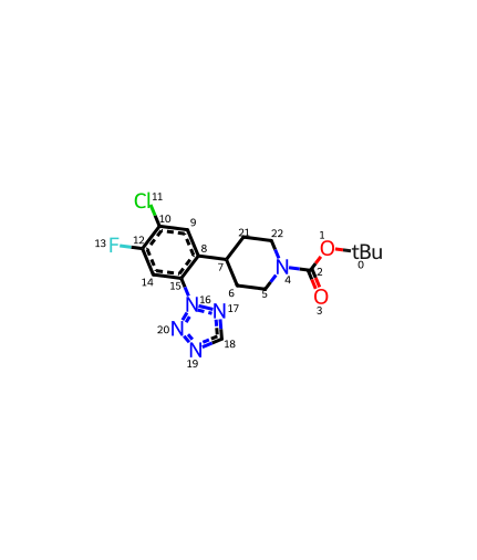 CC(C)(C)OC(=O)N1CCC(c2cc(Cl)c(F)cc2-n2ncnn2)CC1